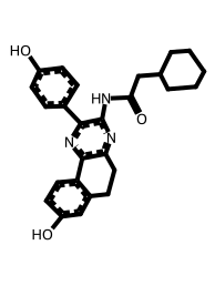 O=C(CC1CCCCC1)Nc1nc2c(nc1-c1ccc(O)cc1)-c1ccc(O)cc1CC2